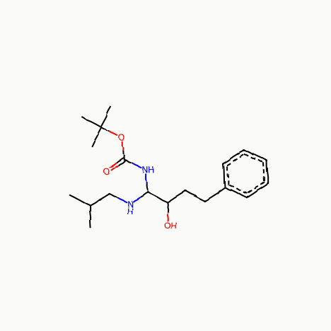 CC(C)CNC(NC(=O)OC(C)(C)C)C(O)CCc1ccccc1